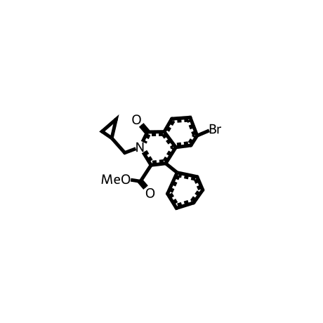 COC(=O)c1c(-c2ccccc2)c2cc(Br)ccc2c(=O)n1CC1CC1